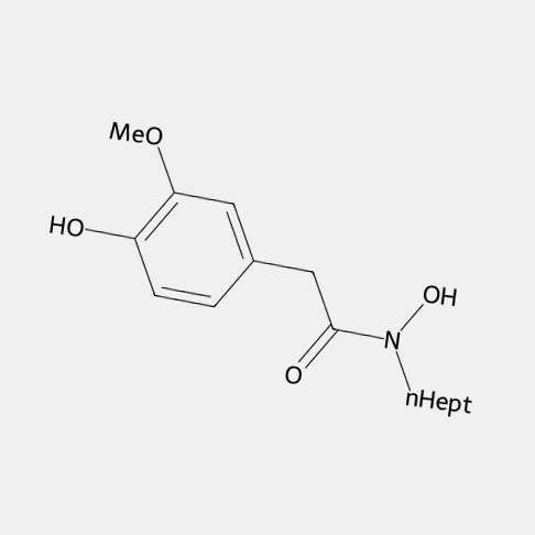 CCCCCCCN(O)C(=O)Cc1ccc(O)c(OC)c1